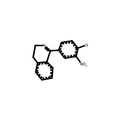 O=[N+]([O-])c1cc(C2=NCCc3ccccc32)ccc1Cl